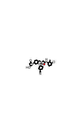 Cc1c(Cl)cccc1NC(=O)CN(Cc1ccc(N2CC(O)CC2=O)cc1)S(=O)(=O)c1ccc(C#N)cc1